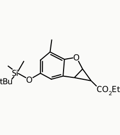 CCOC(=O)C1C2Oc3c(C)cc(O[Si](C)(C)C(C)(C)C)cc3C21